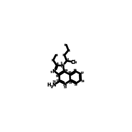 CCCC(Cl)n1c(CC)nc2c(N)nc3ccccc3c21